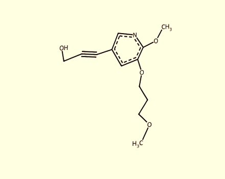 COCCCOc1cc(C#CCO)cnc1OC